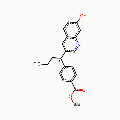 CCCCOC(=O)c1ccc([C@@H](CCC(F)(F)F)c2cnc3cc(O)ccc3c2)cc1